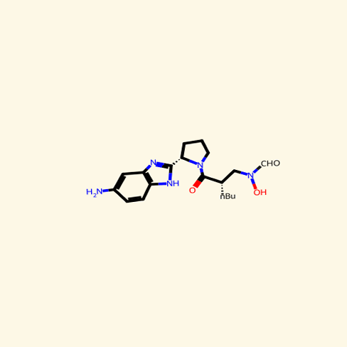 CCCC[C@@H](CN(O)C=O)C(=O)N1CCC[C@H]1c1nc2cc(N)ccc2[nH]1